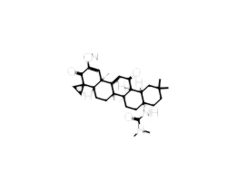 CN(C)C(=O)N[C@]12CCC(C)(C)C[C@H]1[C@H]1C(=O)C=C3[C@@]4(C)C=C(C#N)C(=O)C5(CC5)[C@@H]4CC[C@@]3(C)[C@]1(C)CC2